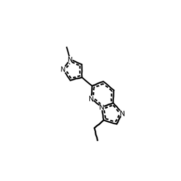 CCc1cnc2ccc(-c3cnn(C)c3)nn12